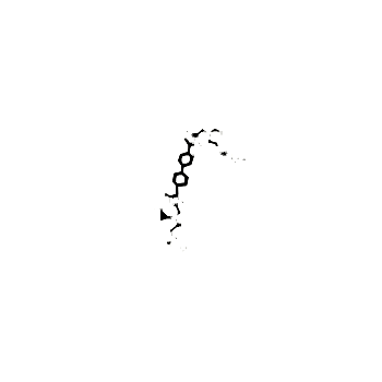 COC(=O)NCC(=O)N(Cc1ncc(-c2ccc(-c3ccc(-c4[nH]c(CN(C(=O)CNC(=O)OC)C5CC5C)nc4Cl)cc3)cc2)[nH]1)CC(C)C